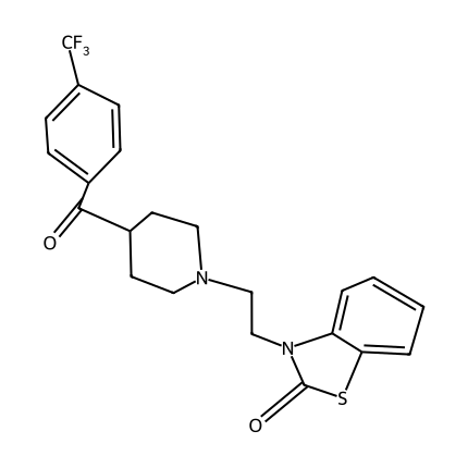 O=C(c1ccc(C(F)(F)F)cc1)C1CCN(CCn2c(=O)sc3ccccc32)CC1